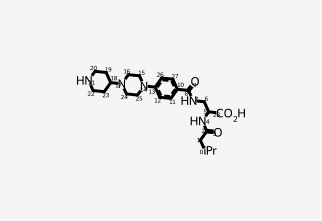 CC(C)CC(=O)NC(CNC(=O)c1ccc(N2CCN(C3CCNCC3)CC2)cc1)C(=O)O